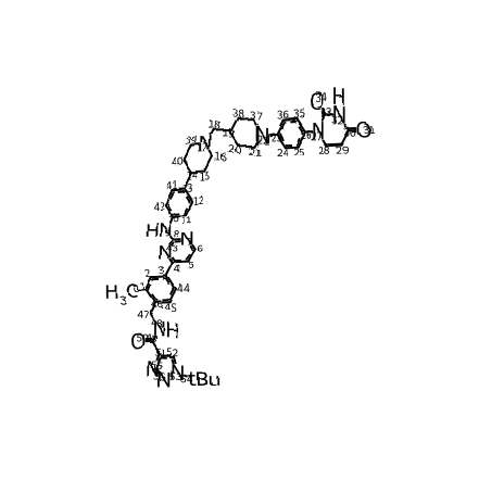 Cc1cc(-c2ccnc(Nc3ccc(C4CCN(CC5CCN(c6ccc(N7CCC(=O)NC7=O)cc6)CC5)CC4)cc3)n2)ccc1CNC(=O)c1cn(C(C)(C)C)nn1